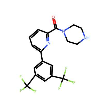 O=C(c1cccc(-c2cc(C(F)(F)F)cc(C(F)(F)F)c2)n1)N1CCNCC1